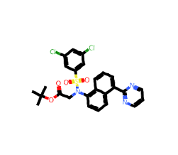 CC(C)(C)OC(=O)CN(c1cccc2c(-c3ncccn3)cccc12)S(=O)(=O)c1cc(Cl)cc(Cl)c1